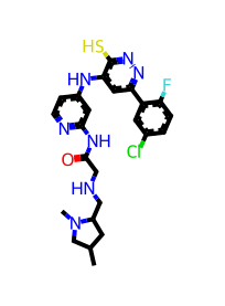 CC1CC(CNCC(=O)Nc2cc(Nc3cc(-c4cc(Cl)ccc4F)nnc3S)ccn2)N(C)C1